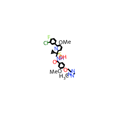 COc1cc(C(=O)NCC(SO)(c2ccc(OC)c(-c3ccc(F)c(Cl)c3)n2)C2CC2)ccc1OCc1ncnn1C